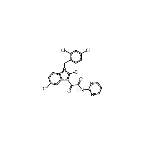 O=C(Nc1ncccn1)C(=O)c1c(Cl)n(Cc2ccc(Cl)cc2Cl)c2ccc(Cl)cc12